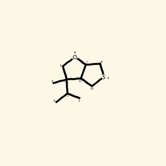 CC(C)C1(C)COC2CSCC21